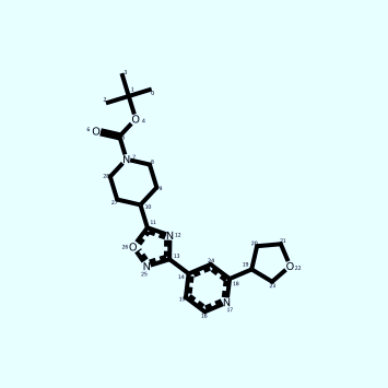 CC(C)(C)OC(=O)N1CCC(c2nc(-c3ccnc(C4CCOC4)c3)no2)CC1